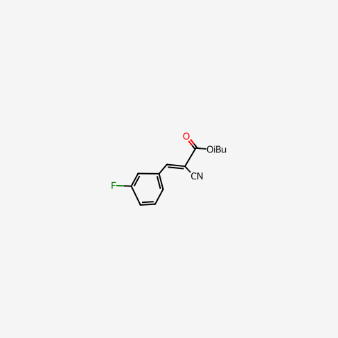 CC(C)COC(=O)/C(C#N)=C/c1cccc(F)c1